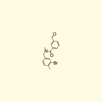 Cc1ccc(CN(C)C(=O)c2cccc(C=O)c2)cc1Br